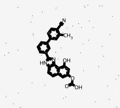 Cc1cc(-c2cccc(-c3nc4c(ccc5cc(OC(=O)O)cc(O)c54)[nH]3)c2)ccc1C#N